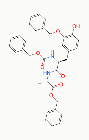 C[C@H](NC(=O)[C@H](Cc1ccc(O)c(OCc2ccccc2)c1)NC(=O)OCc1ccccc1)C(=O)OCc1ccccc1